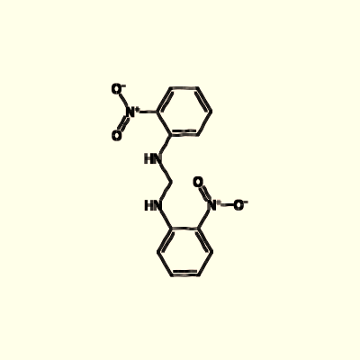 O=[N+]([O-])c1ccccc1NCNc1ccccc1[N+](=O)[O-]